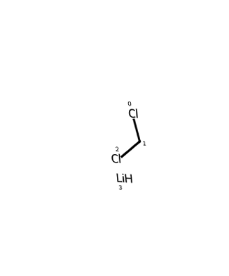 ClCCl.[LiH]